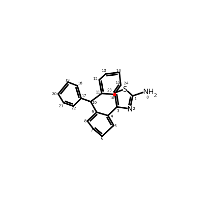 Nc1nc(-c2ccccc2[C](c2ccccc2)c2ccccc2)cs1